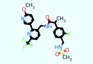 COc1ccc(-c2nc(C(F)(F)F)ccc2CNC(=O)C(C)c2ccc(CNS(C)(=O)=O)c(F)c2)cn1